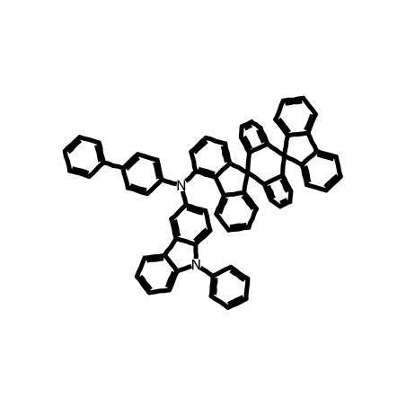 c1ccc(-c2ccc(N(c3ccc4c(c3)c3ccccc3n4-c3ccccc3)c3cccc4c3-c3ccccc3C43c4ccccc4C4(c5ccccc5-c5ccccc54)c4ccccc43)cc2)cc1